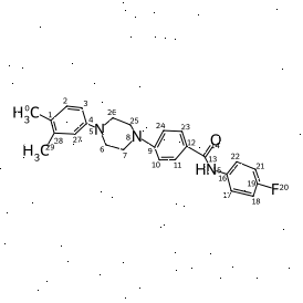 Cc1ccc(N2CCN(c3ccc(C(=O)Nc4ccc(F)cc4)cc3)CC2)cc1C